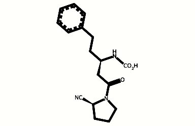 N#C[C@@H]1CCCN1C(=O)C[C@@H](CCc1ccccc1)NC(=O)O